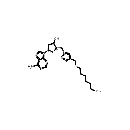 CCCCCCCCCCCCCCCCOCc1cn(C[C@H]2O[C@@H](n3cnc4c(N)ncnc43)CC2O)nn1